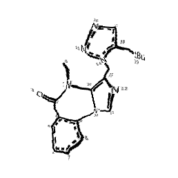 CN1C(=O)c2ccccc2[N+]2C=NC(n3nncc3C(C)(C)C)=C12